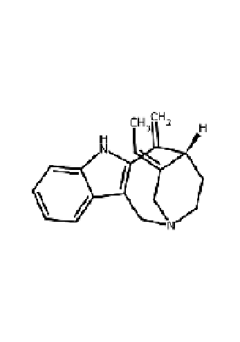 C=C1c2[nH]c3ccccc3c2CN2CC[C@@H]1/C(=C\C)C2